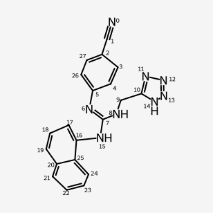 N#Cc1ccc(N=C(NCc2nnn[nH]2)Nc2cccc3ccccc23)cc1